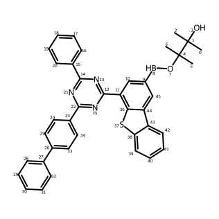 CC(C)(O)C(C)(C)OBc1cc(-c2nc(-c3ccccc3)nc(-c3ccc(-c4ccccc4)cc3)n2)c2sc3ccccc3c2c1